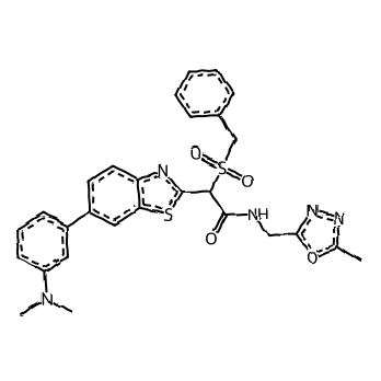 Cc1nnc(CNC(=O)C(c2nc3ccc(-c4cccc(N(C)C)c4)cc3s2)S(=O)(=O)Cc2ccccc2)o1